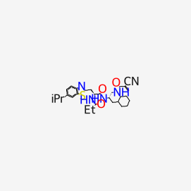 C=C(C#N)C(=O)NC[C@H](CC1CCCCC1)NC(=O)[C@H](Cc1nc2ccc(C(C)C)cc2s1)NC(=O)CC